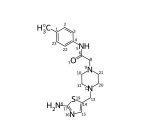 Cc1ccc(NC(=O)CN2CCN(Cc3cnc(N)s3)CC2)cc1